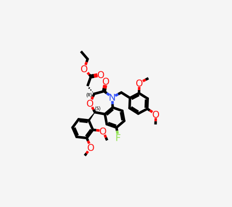 CCOC(=O)C[C@H]1O[C@H](c2cccc(OC)c2OC)c2cc(F)ccc2N(Cc2ccc(OC)cc2OC)C1=O